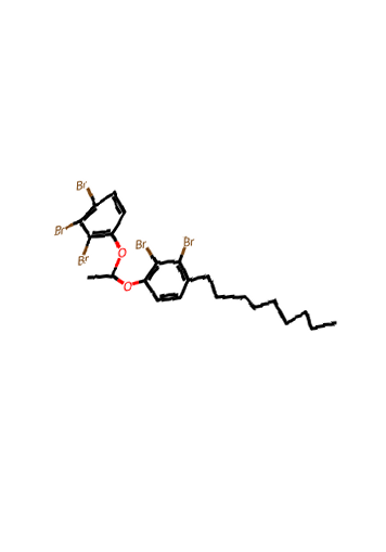 CCCCCCCCCc1ccc(OC(C)Oc2ccc(Br)c(Br)c2Br)c(Br)c1Br